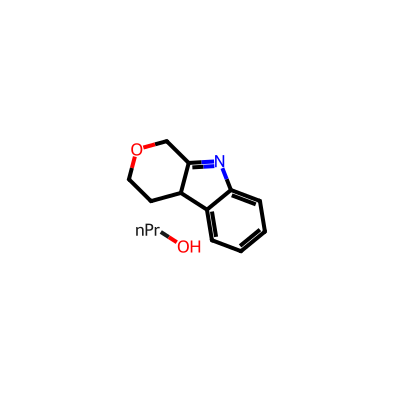 CCCO.c1ccc2c(c1)N=C1COCCC12